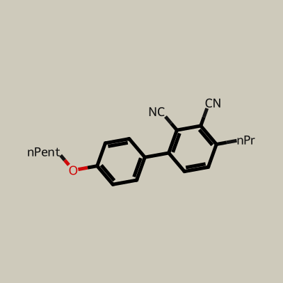 CCCCCOc1ccc(-c2ccc(CCC)c(C#N)c2C#N)cc1